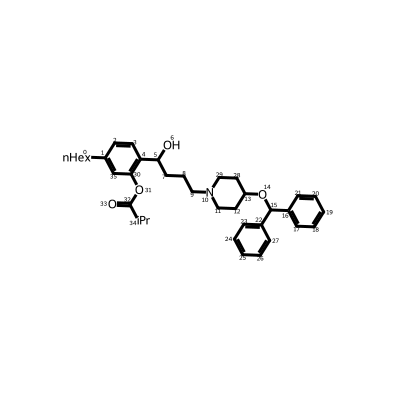 CCCCCCc1ccc(C(O)CCCN2CCC(OC(c3ccccc3)c3ccccc3)CC2)c(OC(=O)C(C)C)c1